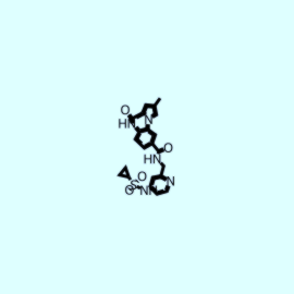 Cc1cc2c(=O)[nH]c3ccc(C(=O)NCc4cc(NS(=O)(=O)C5CC5)ccn4)cc3n2c1